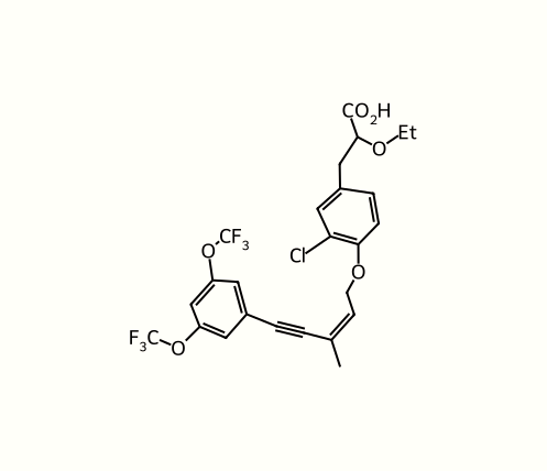 CCOC(Cc1ccc(OCC=C(C)C#Cc2cc(OC(F)(F)F)cc(OC(F)(F)F)c2)c(Cl)c1)C(=O)O